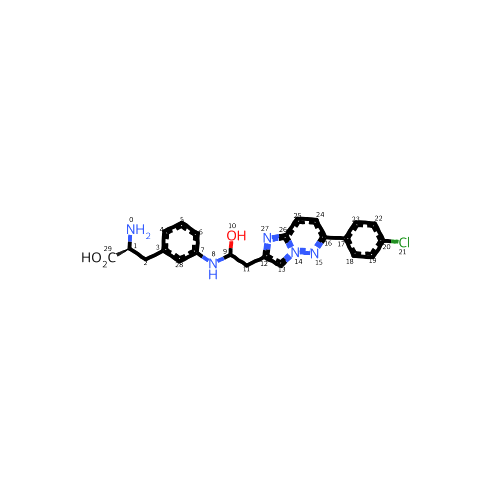 N[C@@H](Cc1cccc(NC(O)Cc2cn3nc(-c4ccc(Cl)cc4)ccc3n2)c1)C(=O)O